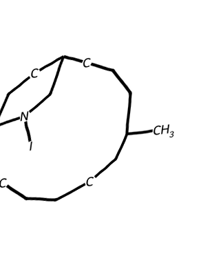 CC1CCCCCCC2CCC(CCC1)CN2I